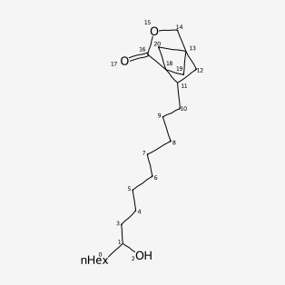 CCCCCCC(O)CCCCCCCCC1CC23COC(=O)C1(C2)C3